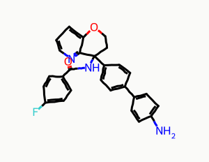 Nc1ccc(-c2ccc(C3(NC(=O)c4ccc(F)cc4)CCOc4cccnc43)cc2)cc1